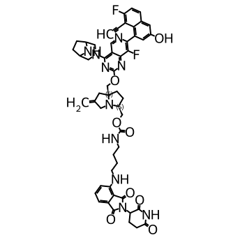 C#Cc1c(F)ccc2cc(O)cc(-c3ncc4c(N5CC6CCC(C5)N6)nc(OC[C@@]56CC[C@@H](COC(=O)NCCCCNc7cccc8c7C(=O)N(C7CCC(=O)NC7=O)C8=O)N5CC(=C)C6)nc4c3F)c12